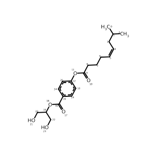 CC(C)C/C=C\CCCC(=O)Oc1ccc(C(=O)OC(CO)CO)cc1